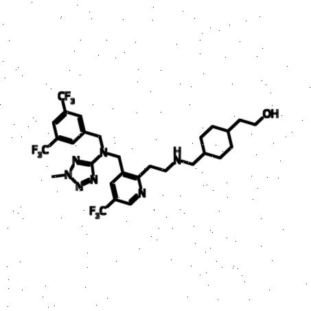 Cn1nnc(N(Cc2cc(C(F)(F)F)cc(C(F)(F)F)c2)Cc2cc(C(F)(F)F)cnc2CCNCC2CCC(CCO)CC2)n1